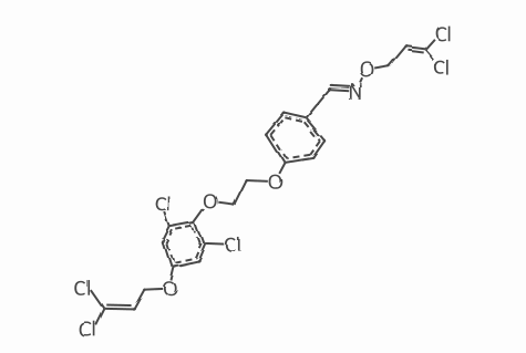 ClC(Cl)=CCON=Cc1ccc(OCCOc2c(Cl)cc(OCC=C(Cl)Cl)cc2Cl)cc1